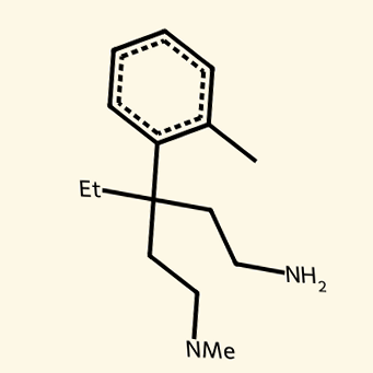 CCC(CCN)(CCNC)c1ccccc1C